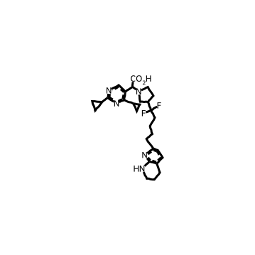 O=C(O)C(c1cnc(C2CC2)nc1C1CC1)N1CCC(C(F)(F)CCCCc2ccc3c(n2)NCCC3)C1